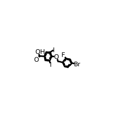 O=C(O)c1cc(I)c(OCc2ccc(Br)cc2F)c(I)c1